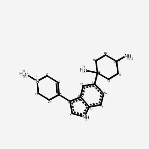 CN1CC=C(c2c[nH]c3ccc(C4(O)CCC(N)CC4)cc23)CC1